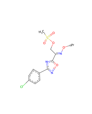 CCCO/N=C(\COS(C)(=O)=O)c1nc(-c2ccc(Cl)cc2)no1